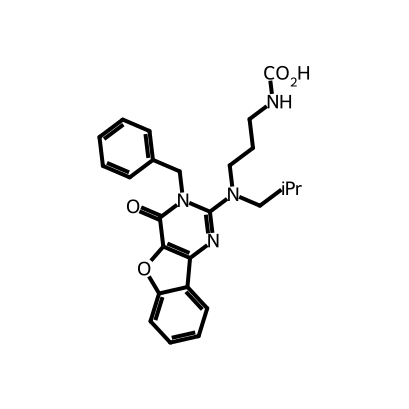 CC(C)CN(CCCNC(=O)O)c1nc2c(oc3ccccc32)c(=O)n1Cc1ccccc1